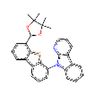 CC1(C)OB(c2cccc3c2sc2c(-n4c5ccccc5c5cccnc54)cccc23)OC1(C)C